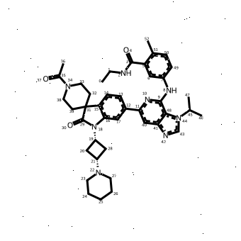 CCNC(=O)c1cc(Nc2nc(-c3ccc4c(c3)N([C@H]3C[C@@H](N5CCCCC5)C3)C(=O)C43CCN(C(C)=O)CC3)cc3ncn(C(C)C)c23)ccc1C